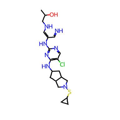 CC(O)CN/C=C(\C=N)Nc1ncc(Cl)c(NC2CC3CN(SC4CC4)CC3C2)n1